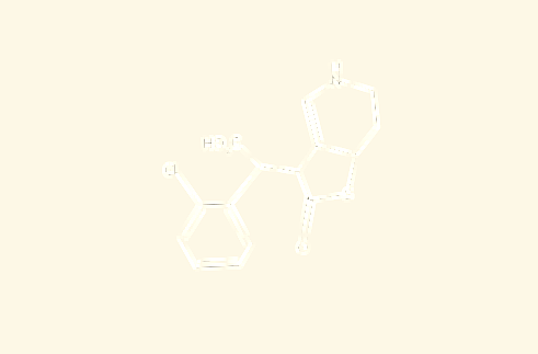 O=C1SC2CCNC=C2C1C(C(=O)O)c1ccccc1Cl